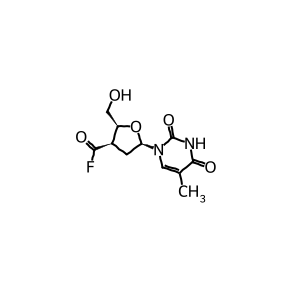 Cc1cn([C@H]2C[C@@H](C(=O)F)[C@@H](CO)O2)c(=O)[nH]c1=O